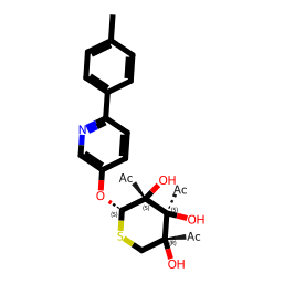 CC(=O)[C@]1(O)[C@@](O)(C(C)=O)CS[C@H](Oc2ccc(-c3ccc(C)cc3)nc2)[C@@]1(O)C(C)=O